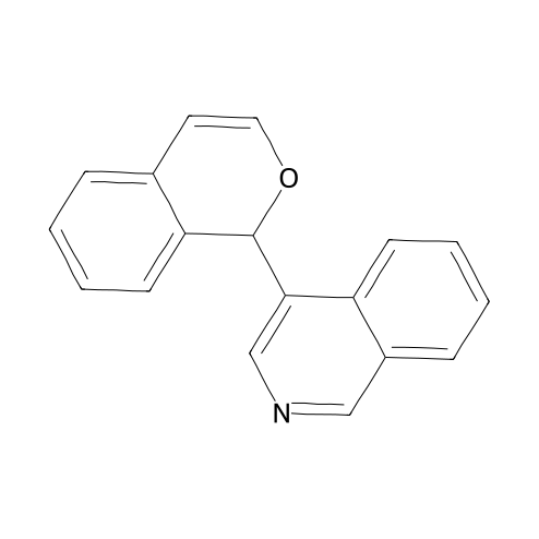 C1=Cc2ccccc2C(c2cncc3ccccc23)O1